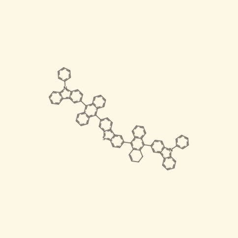 C1=Cc2c(c(-c3ccc4c(c3)c3ccccc3n4-c3ccccc3)c3ccccc3c2-c2ccc3sc4cc(-c5c6ccccc6c(-c6ccc7c(c6)c6ccccc6n7-c6ccccc6)c6ccccc56)ccc4c3c2)CC1